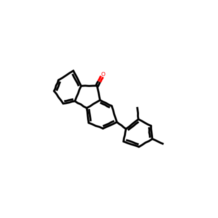 Cc1ccc(-c2ccc3c(c2)C(=O)c2ccccc2-3)c(C)c1